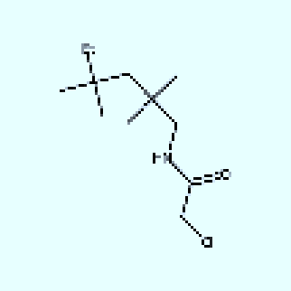 CCC(C)(C)CC(C)(C)CNC(=O)CCl